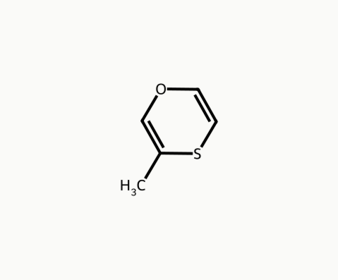 CC1=COC=CS1